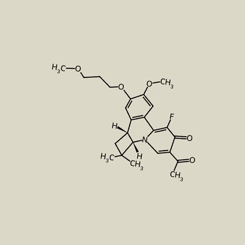 COCCCOc1cc2c(cc1OC)-c1c(F)c(=O)c(C(C)=O)cn1[C@H]1[C@@H]2CC1(C)C